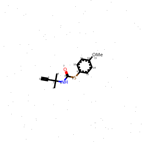 C#CC(C)(C)NC(=O)Sc1ccc(OC)cc1